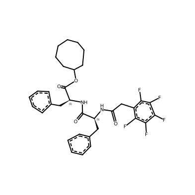 O=C(Cc1c(F)c(F)c(F)c(F)c1F)N[C@@H](Cc1ccccc1)C(=O)N[C@@H](Cc1ccccc1)C(=O)OC1CCCCCCC1